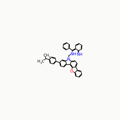 CC(C)c1ccc(-c2ccc3c4c5oc6ccccc6c5ccc4n(CN/C(=C4/C=CC=CC4=N)c4ccccc4)c3c2)cc1